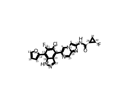 O=C(Nc1cn2cc(-c3c(Cl)c(F)c(-c4ccco4)c4[nH]ncc34)ncc2n1)[C@@H]1C[C@@H]1F